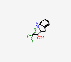 OC(c1cc2ccccc2[nH]1)C(F)(F)F